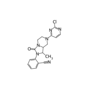 CC1C2CN(c3ccnc(Cl)n3)CCN2C(=O)N1c1ccccc1C#N